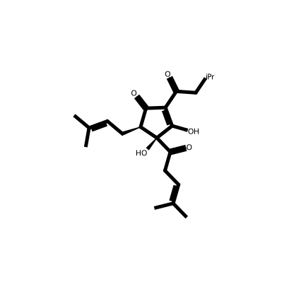 CC(C)=CCC(=O)[C@@]1(O)C(O)=C(C(=O)CC(C)C)C(=O)[C@@H]1CC=C(C)C